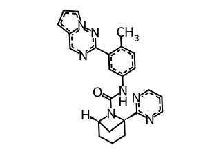 Cc1ccc(NC(=O)N2[C@H]3CCC[C@]2(c2ncccn2)C3)cc1-c1ncc2cccn2n1